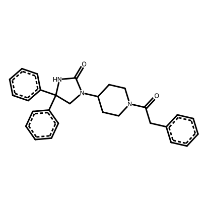 O=C(Cc1ccccc1)N1CCC(N2CC(c3ccccc3)(c3ccccc3)NC2=O)CC1